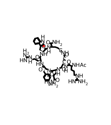 CC(=O)N[C@@H](CCCNC(=N)N)C(=O)N[C@H]1CCC(=O)NCCCC(C(N)=O)NC(=O)[C@H](Cc2c[nH]c3ccccc23)NC(=O)[C@H](CCCNC(=N)N)NC(=O)[C@@H](Cc2ccc(N)cc2)NC(=O)[C@H](CCC(N)=O)NC1=O